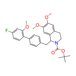 COc1cc2c(cc1OC)C(Cc1ccc(-c3ccc(F)cc3OC)cc1)N(C(=O)OC(C)(C)C)CC2